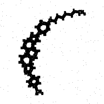 CCCCCCCOc1ccc(-c2cc3c(ccc4c3ccc3c5cc(-c6ccc(C)cc6)oc5ccc34)o2)cc1